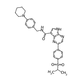 CC(C)S(=O)(=O)c1ccc(-c2cnc3[nH]cc(C(=O)NCc4ccc(N5CCCCC5)cc4)c3n2)cc1